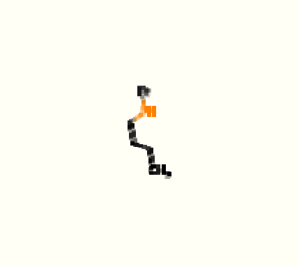 C=C/C=C\PCC